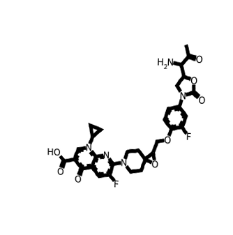 CC(=O)C(N)C1CN(c2ccc(OCC3OC34CCN(c3nc5c(cc3F)c(=O)c(C(=O)O)cn5C3CC3)CC4)c(F)c2)C(=O)O1